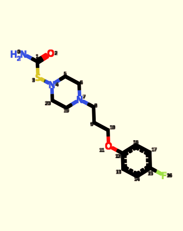 NC(=O)SN1CCN(CCCOc2ccc(F)cc2)CC1